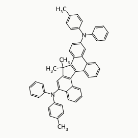 Cc1ccc(N(c2ccccc2)c2ccc3c4c(c5ccccc5c3c2)-c2c(cc(N(c3ccccc3)c3ccc(C)cc3)c3ccccc23)C4(C)C)cc1